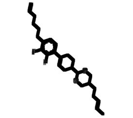 C=CCCCCc1ccc(C2=CCC(C3OCC(CC/C=C/C)CO3)CC2)c(F)c1F